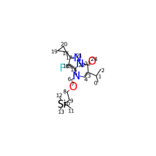 CC(C)c1cn(COCC[Si](C)(C)C)c2c(F)c(C3CC3)nn2c1=O